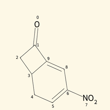 O=C1CC2CC=C([N+](=O)[O-])C=C12